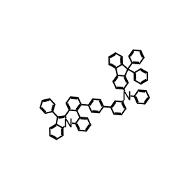 c1ccc(-c2c3ccccc3n3c4ccccc4c4c(-c5ccc(-c6cccc(N(c7ccccc7)c7ccc8c(c7)C(c7ccccc7)(c7ccccc7)c7ccccc7-8)c6)cc5)cccc4c23)cc1